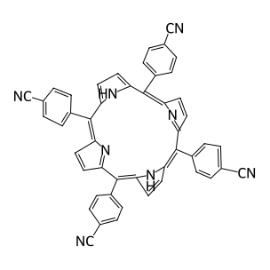 N#Cc1ccc(-c2c3nc(c(-c4ccc(C#N)cc4)c4ccc([nH]4)c(-c4ccc(C#N)cc4)c4nc(c(-c5ccc(C#N)cc5)c5ccc2[nH]5)C=C4)C=C3)cc1